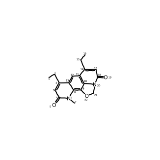 CCc1cc(=O)n(C)c2c3c4c(cc12)c(CC)cc(=O)n4CO3